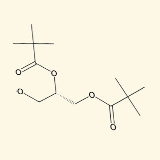 CC(C)(C)C(=O)OC[C@H](C[O])OC(=O)C(C)(C)C